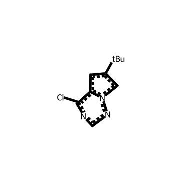 CC(C)(C)c1cc2c(Cl)ncnn2c1